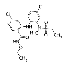 CCONC(=O)c1cnc(Cl)cc1Nc1ccc(Cl)cc1N(C)S(=O)(=O)CC